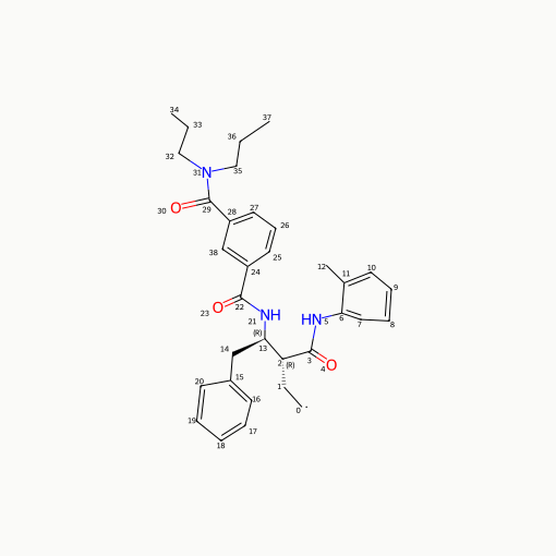 [CH2]C[C@@H](C(=O)Nc1ccccc1C)[C@@H](Cc1ccccc1)NC(=O)c1cccc(C(=O)N(CCC)CCC)c1